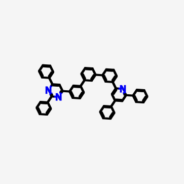 c1ccc(-c2cc(-c3ccccc3)nc(-c3cccc(-c4cccc(-c5cccc(-c6cc(-c7ccccc7)nc(-c7ccccc7)n6)c5)c4)c3)c2)cc1